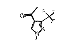 CC(=O)c1cn(C)nc1C(F)(F)F